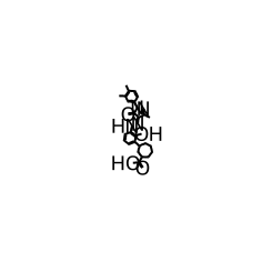 CC1=NN(c2ccc(C)c(C)c2)C(=O)C1=NNc1cccc(C2CCCCC(C(=O)O)C2)c1O